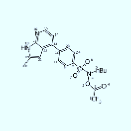 CCCCN(OC(=O)C(F)(F)F)S(=O)(=O)c1ccc(-c2ccnc3[nH]c(C)cc23)cc1